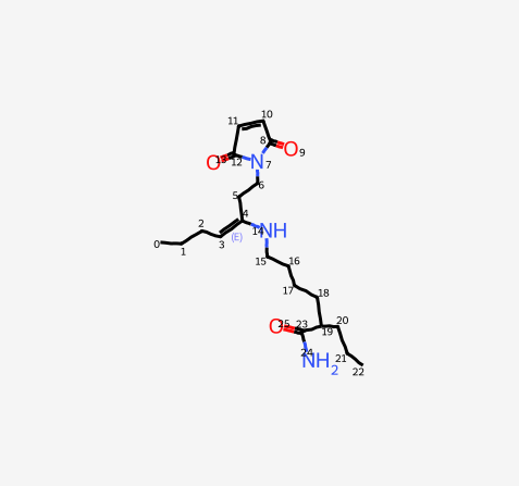 CCC/C=C(\CCN1C(=O)C=CC1=O)NCCCCC(CCC)C(N)=O